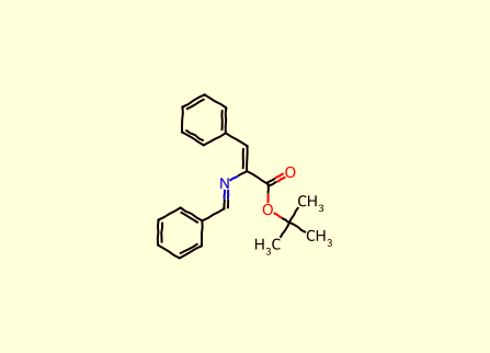 CC(C)(C)OC(=O)C(=Cc1ccccc1)N=Cc1ccccc1